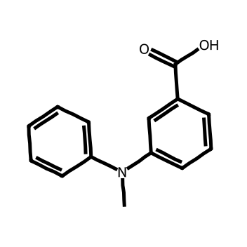 CN(c1ccccc1)c1cccc(C(=O)O)c1